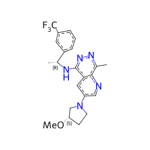 CO[C@H]1CCN(c2cnc3c(C)nnc(N[C@H](C)c4cccc(C(F)(F)F)c4)c3c2)C1